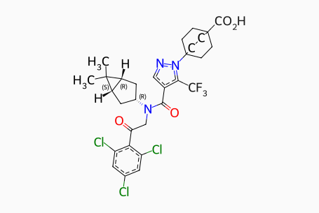 CC1(C)[C@@H]2C[C@H](N(CC(=O)c3c(Cl)cc(Cl)cc3Cl)C(=O)c3cnn(C45CCC(C(=O)O)(CC4)CC5)c3C(F)(F)F)C[C@@H]21